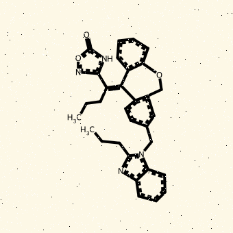 CCC/C(=C1\c2ccc(Cn3c(CCC)nc4ccccc43)cc2COc2ccccc21)c1noc(=O)[nH]1